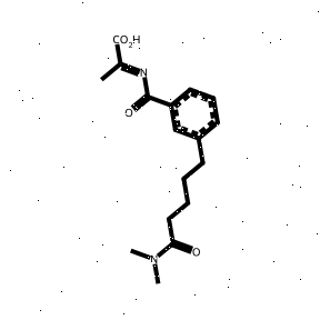 C/C(=N\C(=O)c1cccc(CCCCC(=O)N(C)C)c1)C(=O)O